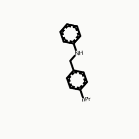 CCCc1ccc(CNc2ccccc2)cc1